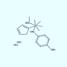 CCCCc1ccc([NH][Zr]([CH3])([CH3])([CH3])([CH3])([C]2=CC=CC2)[SiH](C)C)cc1.Cl.Cl